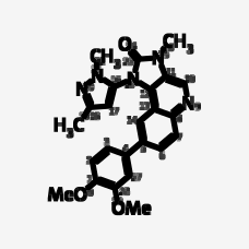 COc1ccc(-c2ccc3ncc4c(c3c2)n(-c2cc(C)nn2C)c(=O)n4C)cc1OC